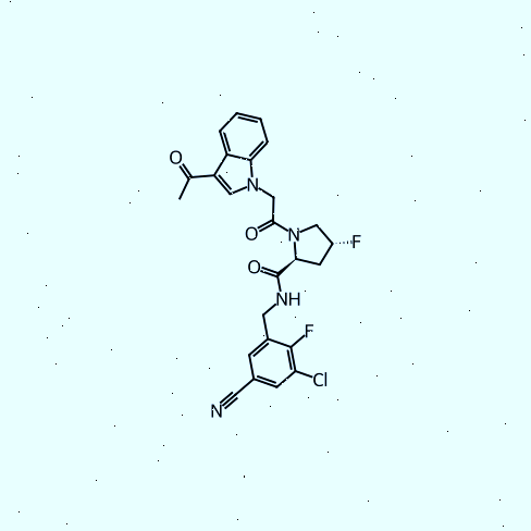 CC(=O)c1cn(CC(=O)N2C[C@H](F)C[C@H]2C(=O)NCc2cc(C#N)cc(Cl)c2F)c2ccccc12